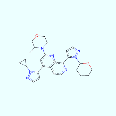 CC1COCCN1c1cc(-c2ccnn2C2CC2)c2ccnc(-c3ccnn3C3CCCCO3)c2n1